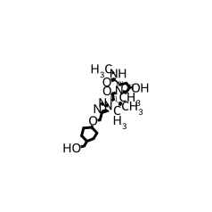 CNC(=O)[C@H]1C[C@H](O)CN1C(=O)[C@@H](n1cc(COC2CCC(CO)CC2)nn1)C(C)(C)C